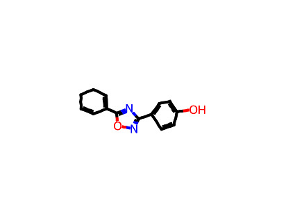 Oc1ccc(-c2noc(C3=CCCC=C3)n2)cc1